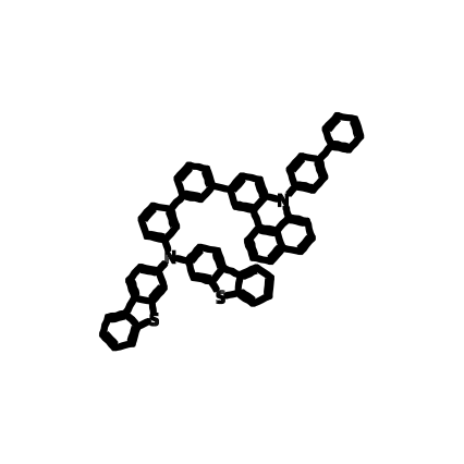 c1ccc(-c2ccc(N3c4ccc(-c5cccc(-c6cccc(N(c7ccc8c(c7)sc7ccccc78)c7ccc8c(c7)sc7ccccc78)c6)c5)cc4-c4cccc5cccc3c45)cc2)cc1